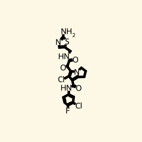 Nc1ncc(CNC(=O)C(=O)c2c(Cl)c(C(=O)Nc3ccc(F)c(Cl)c3)c3n2CCC3)s1